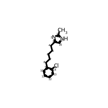 Cc1nc(CCCCCc2ccccc2Cl)c[nH]1